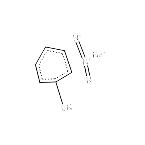 N#Cc1ccccc1.[N-]=[N+]=[N-].[Na+]